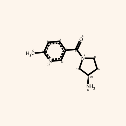 Cc1ccc(C(=O)N2CC[C@@H](N)C2)cn1